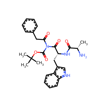 C[C@H](N)C(=O)N[C@H](Cc1c[nH]c2ccccc12)C(=O)N(C(=O)Cc1ccccc1)C(=O)OC(C)(C)C